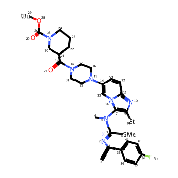 C=C(/N=C(\SC)N(C)c1c(CC)nc2ccc(N3CCN(C(=O)C4CCCN(C(=O)OC(C)(C)C)C4)CC3)cn12)c1ccc(F)cc1